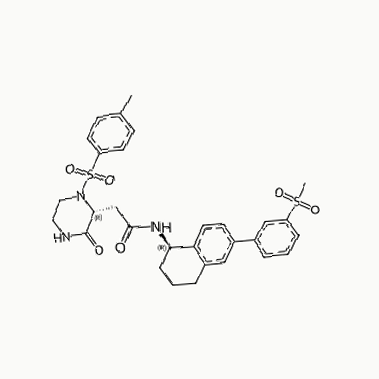 Cc1ccc(S(=O)(=O)N2CCNC(=O)[C@H]2CC(=O)N[C@@H]2CCCc3cc(-c4cccc(S(C)(=O)=O)c4)ccc32)cc1